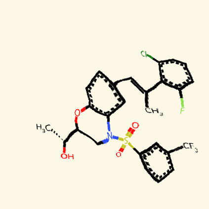 CC(=Cc1ccc2c(c1)N(S(=O)(=O)c1cccc(C(F)(F)F)c1)CC([C@@H](C)O)O2)c1c(F)cccc1Cl